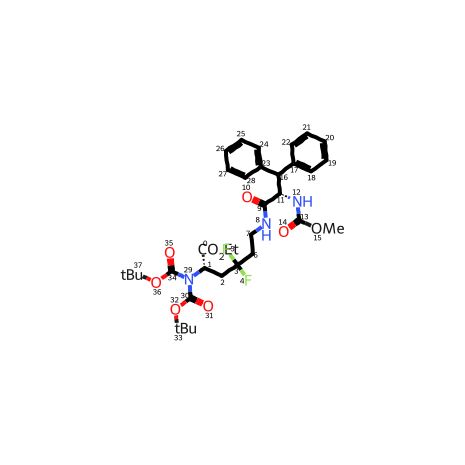 CCOC(=O)[C@H](CC(F)(F)CCNC(=O)[C@@H](NC(=O)OC)C(c1ccccc1)c1ccccc1)N(C(=O)OC(C)(C)C)C(=O)OC(C)(C)C